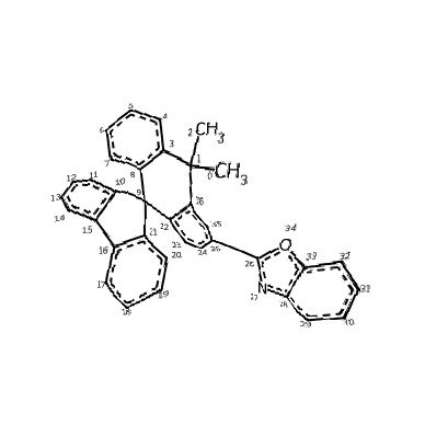 CC1(C)c2ccccc2C2(c3ccccc3-c3ccccc32)c2ccc(-c3nc4ccccc4o3)cc21